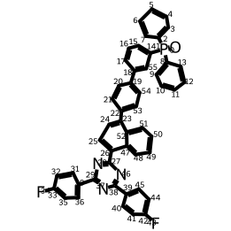 O=P(c1ccccc1)(c1ccccc1)c1cccc(-c2ccc(-c3ccc(-c4nc(-c5ccc(F)cc5)nc(-c5ccc(F)cc5)n4)c4ccccc34)cc2)c1